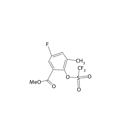 COC(=O)c1cc(F)cc(C)c1OS(=O)(=O)C(F)(F)F